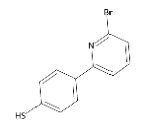 Sc1ccc(-c2cccc(Br)n2)cc1